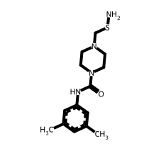 Cc1cc(C)cc(NC(=O)N2CCN(CSN)CC2)c1